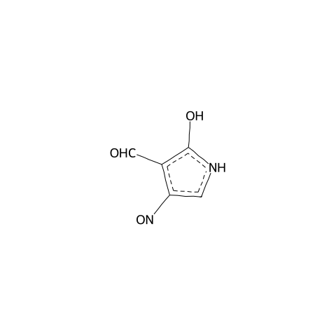 O=Cc1c(N=O)c[nH]c1O